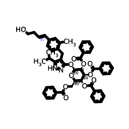 Cc1cc(/C=C/CCO)ccc1Cc1c(O[C@@H]2O[C@H](COC(=O)c3ccccc3)[C@@H](OC(=O)c3ccccc3)[C@H](OC(=O)c3ccccc3)[C@H]2OC(=O)c2ccccc2)n[nH]c1C(C)C